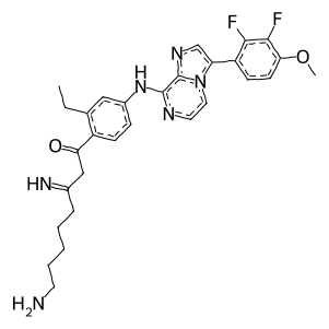 CCc1cc(Nc2nccn3c(-c4ccc(OC)c(F)c4F)cnc23)ccc1C(=O)CC(=N)CCCCCN